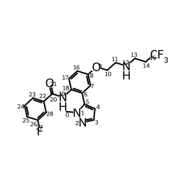 Cn1nccc1-c1cc(OCCNCCC(F)(F)F)ccc1NC(=O)c1cccc(F)c1